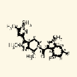 C[C@H]1c2nn(C)c(-c3cc(C(F)(F)F)n(C)n3)c2CCN1C(=O)c1nn(C)c2cc(F)cc(F)c12